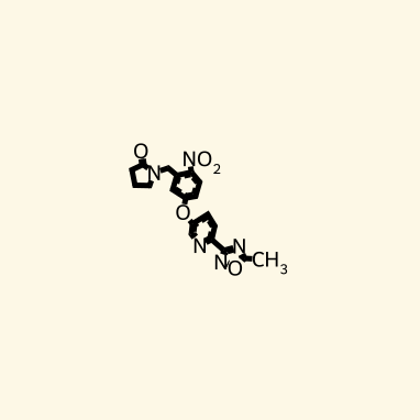 Cc1nc(-c2ccc(Oc3ccc([N+](=O)[O-])c(CN4CCCC4=O)c3)cn2)no1